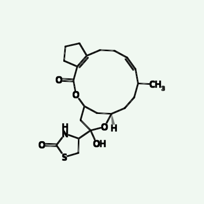 CC1/C=C\CCC2=C(CCC2)C(=O)OC2C[C@@H](CC1)OC(O)(C1CSC(=O)N1)C2